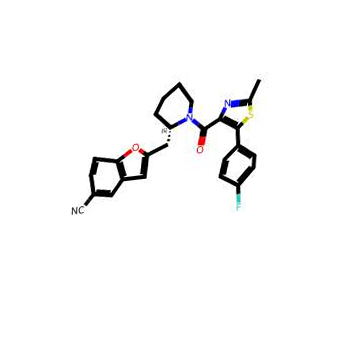 Cc1nc(C(=O)N2CCCC[C@H]2Cc2cc3cc(C#N)ccc3o2)c(-c2ccc(F)cc2)s1